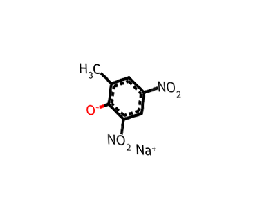 Cc1cc([N+](=O)[O-])cc([N+](=O)[O-])c1[O-].[Na+]